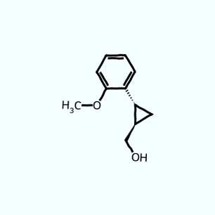 COc1ccccc1[C@@H]1C[C@H]1CO